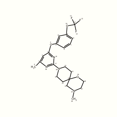 Cc1cc(Oc2cccc(OC(F)(F)F)c2)nc(N2CCC3(CC2)CN(C)CCO3)n1